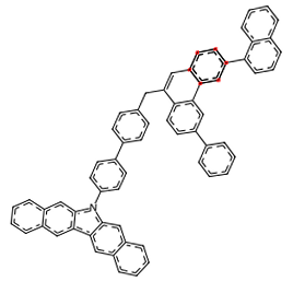 C(=C(\Cc1ccc(-c2ccc(-n3c4cc5ccccc5cc4c4cc5ccccc5cc43)cc2)cc1)c1ccc(-c2ccccc2)cc1-c1ccccc1)/c1ccc(-c2cccc3ccccc23)cc1